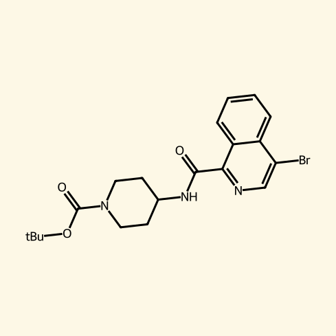 CC(C)(C)OC(=O)N1CCC(NC(=O)c2ncc(Br)c3ccccc23)CC1